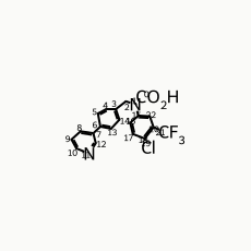 O=C(O)N(Cc1ccc(-c2cccnc2)cc1)c1ccc(Cl)c(C(F)(F)F)c1